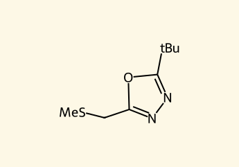 CSCc1nnc(C(C)(C)C)o1